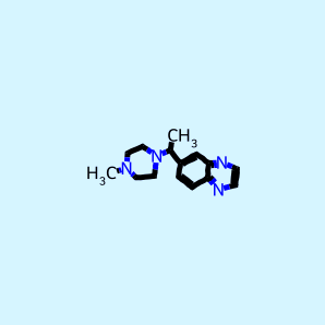 CC(c1ccc2nccnc2c1)N1CCN(C)CC1